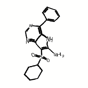 Nc1[nH]c2c(-c3ccccc3)ncnc2c1S(=O)(=O)C1CCCCC1